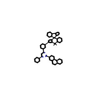 CC1(C)c2ccccc2C2(c3ccccc3-c3ccccc32)c2ccc(-c3cccc(-c4cc(-c5ccccc5)nc(-c5ccc6c(ccc7ccccc76)c5)n4)c3)cc21